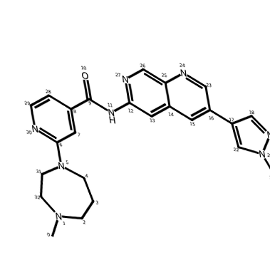 CN1CCCN(c2cc(C(=O)Nc3cc4cc(-c5cnn(C)c5)cnc4cn3)ccn2)CC1